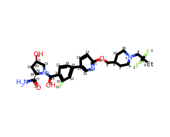 CCC(F)(F)CN1CCC(COc2ccc(-c3ccc(C(O)N4C[C@H](O)C[C@H]4C(N)=O)c(F)c3)cn2)CC1